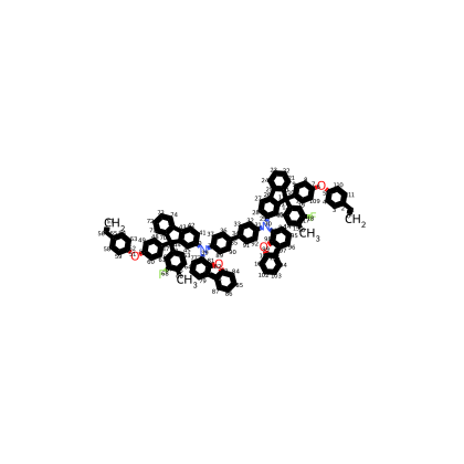 C=Cc1ccc(Oc2ccc(C3(c4ccc(C)c(F)c4)c4ccccc4-c4ccc(N(c5ccc(-c6ccc(N(c7ccc8c(c7)C(c7ccc(Oc9ccc(C=C)cc9)cc7)(c7ccc(C)c(F)c7)c7ccccc7-8)c7cccc8c7oc7ccccc78)cc6)cc5)c5cccc6c5oc5ccccc56)cc43)cc2)cc1